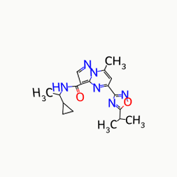 Cc1cc(-c2noc(C(C)C)n2)nc2c(C(=O)NC(C)C3CC3)cnn12